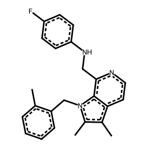 Cc1ccccc1Cn1c(C)c(C)c2ccnc(CNc3ccc(F)cc3)c21